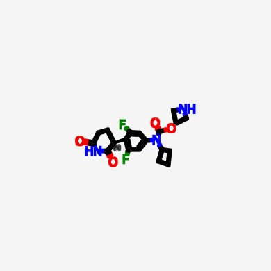 O=C1CC[C@@H](c2c(F)cc(N(C(=O)OC3CNC3)C3CCC3)cc2F)C(=O)N1